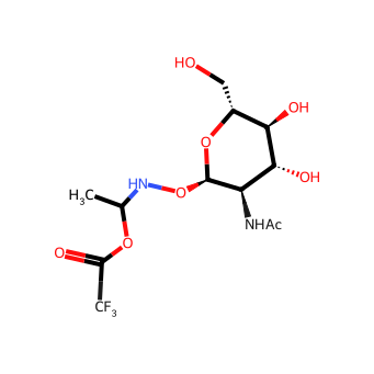 CC(=O)N[C@H]1[C@@H](ONC(C)OC(=O)C(F)(F)F)O[C@H](CO)[C@@H](O)[C@@H]1O